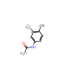 N#Cc1ccc(NC(=O)C(F)(F)F)cc1C(F)(F)F